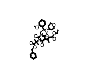 CCOC(=O)c1sc2c(c1C)c(=O)n(C(C)(C)C(=O)OCc1ccccc1)c(=O)n2C[C@H](OC1CCOCC1)c1ccccc1OC